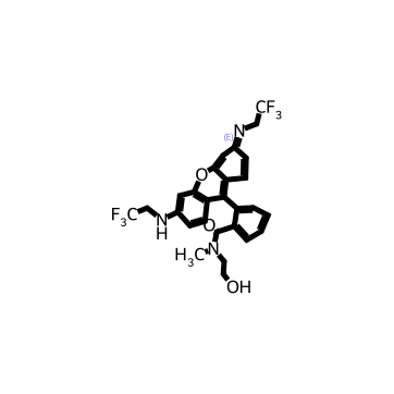 CN(CCO)C(=O)c1ccccc1-c1c2cc/c(=N\CC(F)(F)F)cc-2oc2cc(NCC(F)(F)F)ccc12